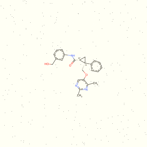 Cc1ncc(OC[C@@]2(c3ccccc3)C[C@H]2C(=O)Nc2cccc(CO)c2)c(C)n1